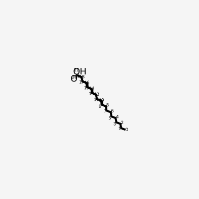 CCCCCCCCCC=CCCC=CC=CCCC(=O)O